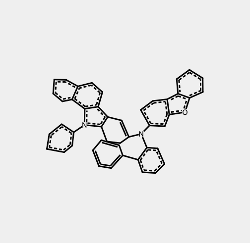 C1=C=C(c2ccccc2N(C2=Cc3c(n(-c4ccccc4)c4c3ccc3ccccc34)CC2)c2ccc3c(c2)oc2ccccc23)C=CC=1